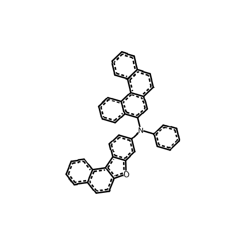 c1ccc(N(c2ccc3c(c2)oc2ccc4ccccc4c23)c2cc3ccc4ccccc4c3c3ccccc23)cc1